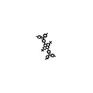 Cc1ccc(N(c2ccc(C)cc2)c2ccc(-c3cc4cc(C(C)(C)C)cc5c(-c6ccc(N(c7ccc(C)cc7)c7ccc(C)cc7)cc6)cc6cc(C(C)(C)C)cc3c6c45)cc2)cc1